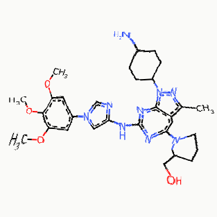 COc1cc(-n2cnc(Nc3nc(N4CCCC4CO)c4c(C)nn(C5CCC(N)CC5)c4n3)c2)cc(OC)c1OC